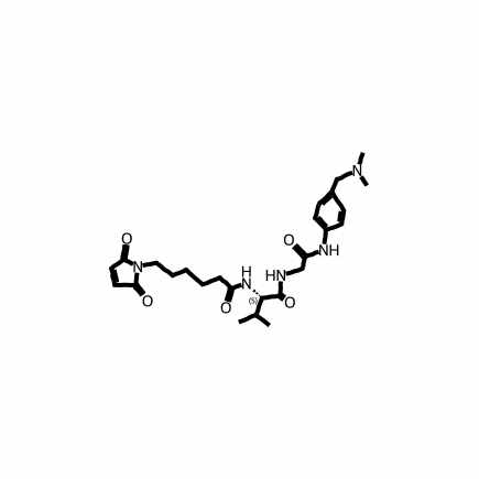 CC(C)[C@H](NC(=O)CCCCCN1C(=O)C=CC1=O)C(=O)NCC(=O)Nc1ccc(CN(C)C)cc1